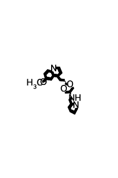 COc1ccc2nccc(CC[C@H]3OC[C@H](NCc4ccccn4)CO3)c2c1